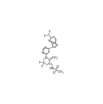 C[C@H]1[C@@H](CNS(C)(=O)=O)CC(F)(F)CN1c1cc(-c2cnc3ccc(C(F)F)nn23)ncn1